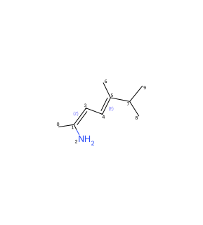 C/C(N)=C/C=C(\C)C(C)C